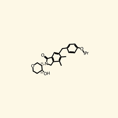 Cc1c(Cc2ccc(OC(C)C)cc2)cc2c(c1C)CN([C@H]1COCC[C@@H]1O)C2=O